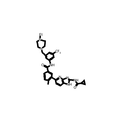 CCN1CCN(Cc2cc(NC(=O)c3ccc(C)c(-c4ccc5[nH]c(NC(=O)C6CC6)nc5n4)c3)cc(C(F)(F)F)c2)CC1